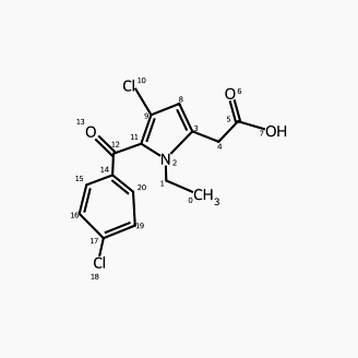 CCn1c(CC(=O)O)cc(Cl)c1C(=O)c1ccc(Cl)cc1